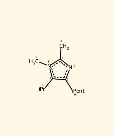 CCCC(C)c1nc(C)n(C)c1C(C)C